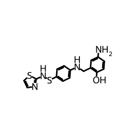 Nc1ccc(O)c(CNc2ccc(SNc3nccs3)cc2)c1